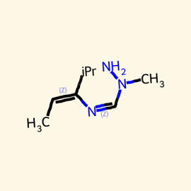 C/C=C(\N=C/N(C)N)C(C)C